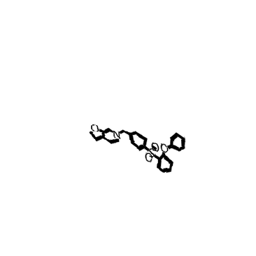 O=S(=O)(c1ccc(CN2C=CC3=CCOC3=C2)cc1)c1ccccc1Oc1ccccc1